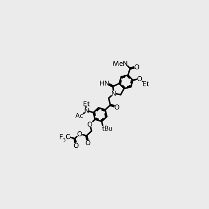 CCOc1cc2c(cc1C(=O)NC)C(=N)N(CC(=O)c1cc(N(CC)C(C)=O)c(OCC(=O)OC(=O)C(F)(F)F)c(C(C)(C)C)c1)C2